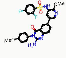 COc1ccc(-n2c(N)nc3ccc(-c4cnc(OC)c(NS(=O)(=O)c5ccc(F)cc5F)c4)cc3c2=O)cc1